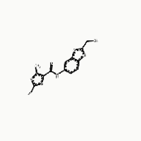 Cc1nc(Br)sc1C(=O)Nc1ccc2sc(CO)nc2c1